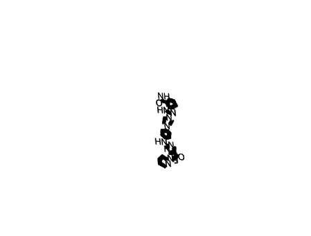 Cn1c(=O)c2cnc(Nc3ccc(N4CCN(c5nc6cccc(C(N)=O)c6[nH]5)CC4)cc3)nc2n1-c1ccccn1